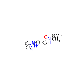 COC(C)CNC(=O)c1cccc(-c2ccc3nc(Nc4ccccc4C#N)nn3c2)c1